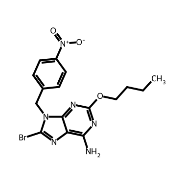 CCCCOc1nc(N)c2nc(Br)n(Cc3ccc([N+](=O)[O-])cc3)c2n1